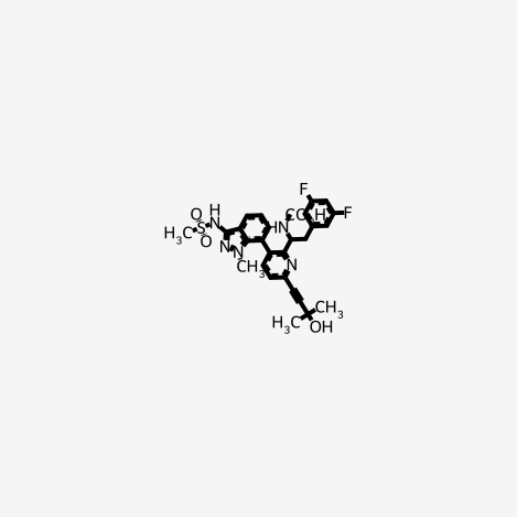 Cn1nc(NS(C)(=O)=O)c2cccc(-c3ccc(C#CC(C)(C)O)nc3C(Cc3cc(F)cc(F)c3)NC(=O)O)c21